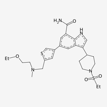 CCOCCN(C)Cc1cc(-c2cc(C(N)=O)c3[nH]cc(C4CCN(S(=O)(=O)CC)CC4)c3c2)cs1